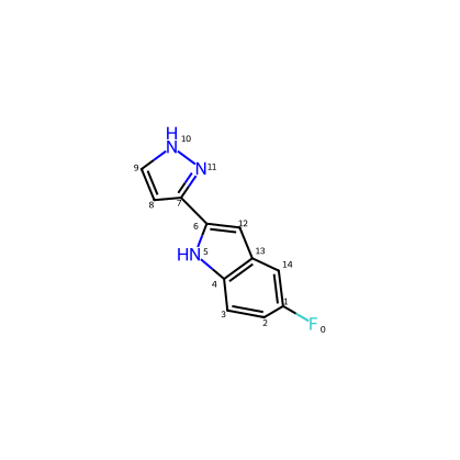 Fc1ccc2[nH]c(-c3cc[nH]n3)cc2c1